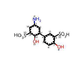 Nc1cc(-c2ccc(O)c(S(=O)(=O)O)c2)c(O)c(S(=O)(=O)O)c1